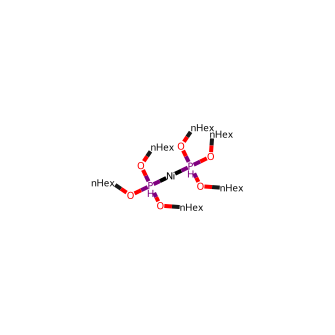 CCCCCCO[PH](OCCCCCC)(OCCCCCC)[Ni][PH](OCCCCCC)(OCCCCCC)OCCCCCC